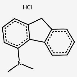 CN(C)c1cccc2c1-c1ccccc1C2.Cl